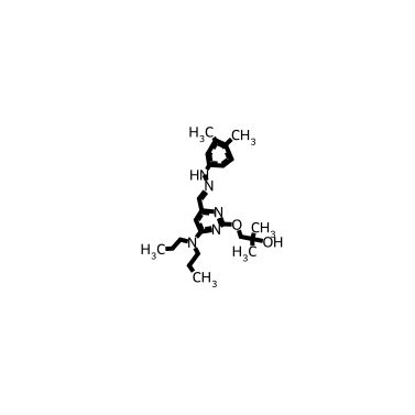 CCCN(CCC)c1cc(/C=N/Nc2ccc(C)c(C)c2)nc(OCC(C)(C)O)n1